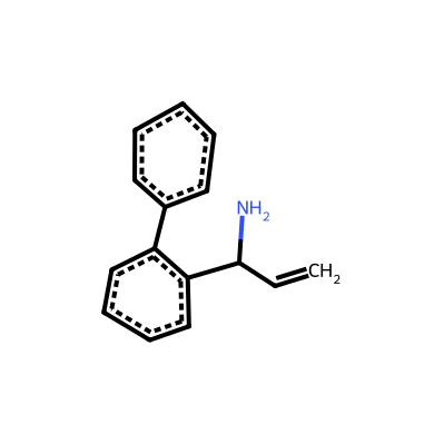 C=CC(N)c1ccccc1-c1ccccc1